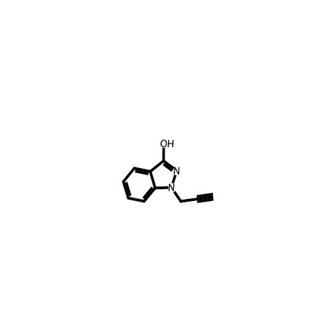 C#CCn1nc(O)c2ccccc21